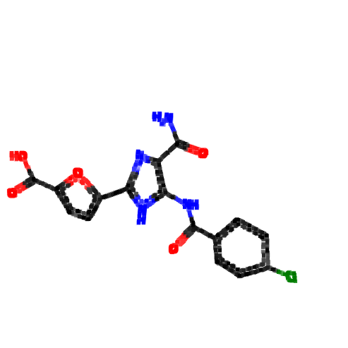 NC(=O)c1nc(-c2ccc(C(=O)O)o2)[nH]c1NC(=O)c1ccc(Cl)cc1